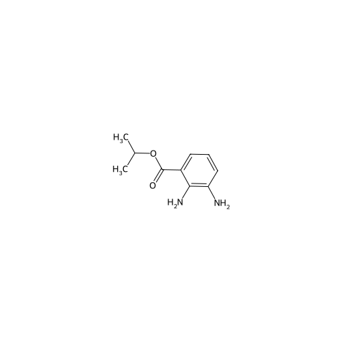 CC(C)OC(=O)c1cccc(N)c1N